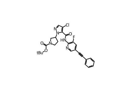 CC(C)(C)OC(=O)N1CCC(n2ncc(Cl)c2C(=O)Nc2ncc(C#Cc3ccccc3)cc2F)C1